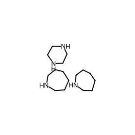 C1CCCNCC1.C1CCCNCC1.C1CNCCN1